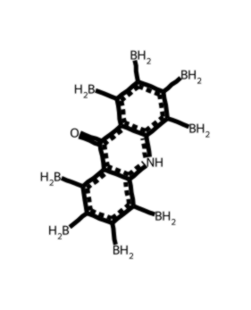 Bc1c(B)c(B)c2c(=O)c3c(B)c(B)c(B)c(B)c3[nH]c2c1B